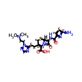 CN(C)CCn1ncnc1SCC1=C(C(=O)O)N2C(=O)[C@@H](NC(=O)c3csc(N)n3)[C@H]2SC1